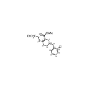 CCOC(=O)CSC1=C(C(=O)OC)CN(Cc2ccccc2Cl)CC1